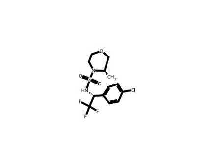 C[C@@H]1COCCN1S(=O)(=O)N[C@H](c1ccc(Cl)cc1)C(F)(F)F